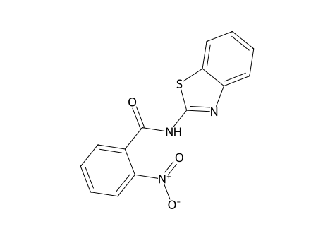 O=C(Nc1nc2ccccc2s1)c1ccccc1[N+](=O)[O-]